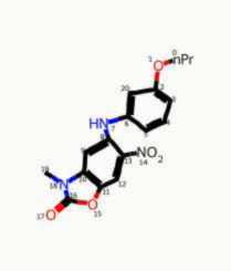 CCCOc1cccc(Nc2cc3c(cc2[N+](=O)[O-])oc(=O)n3C)c1